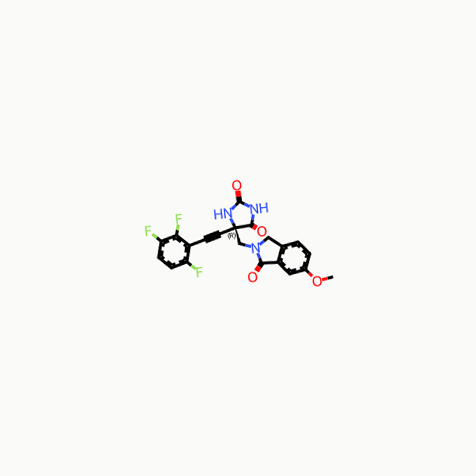 COc1ccc2c(c1)C(=O)N(C[C@@]1(C#Cc3c(F)ccc(F)c3F)NC(=O)NC1=O)C2